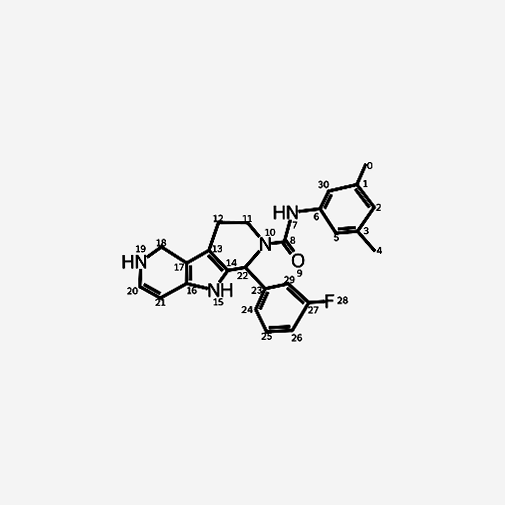 Cc1cc(C)cc(NC(=O)N2CCc3c([nH]c4c3CNC=C4)C2c2cccc(F)c2)c1